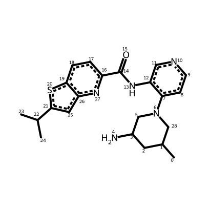 CC1CC(N)CN(c2ccncc2NC(=O)c2ccc3sc(C(C)C)cc3n2)C1